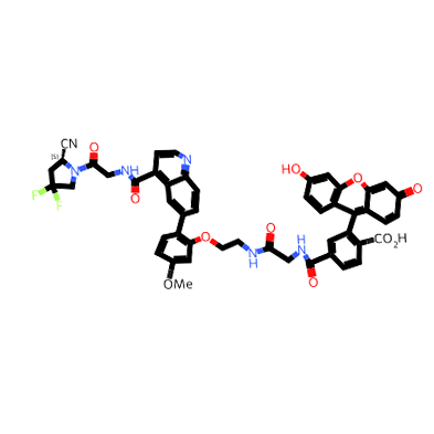 COc1ccc(-c2ccc3nccc(C(=O)NCC(=O)N4CC(F)(F)C[C@H]4C#N)c3c2)c(OCCNC(=O)CNC(=O)c2ccc(C(=O)O)c(-c3c4ccc(=O)cc-4oc4cc(O)ccc34)c2)c1